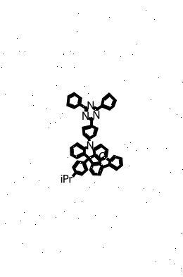 CC(C)c1ccc(C2(c3cccc4c3oc3ccccc34)c3ccccc3N(c3ccc(-c4nc(-c5ccccc5)nc(-c5ccccc5)n4)cc3)c3ccccc32)cc1